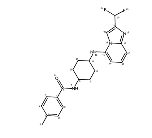 Cc1ccc(C(=O)NC2CCC(Nc3cccc4nc(C(F)F)cn34)CC2)cc1